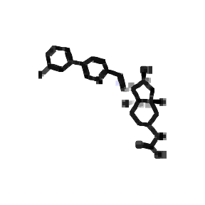 O=C(O)NC1CC[C@@H]2[C@@H](C1)C[C@H](O)[C@H]2/C=C/c1ccc(-c2cccc(F)c2)cn1